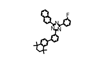 CC1(C)CCC(C)(C)c2cc(-c3cccc(-c4nc(-c5cccc(F)c5)nc(-c5ccc6ccccc6c5)n4)c3)ccc21